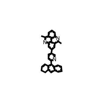 Cc1nc2cc(-c3ccc(-c4c5c(cc6ccccc46)CCC=C5)nc3)cc3c(C)nc4cccc1c4c23